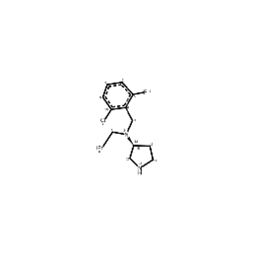 CC(C)CN(Cc1c(F)cccc1Cl)[C@H]1CCNC1